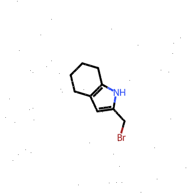 BrCc1cc2c([nH]1)CCCC2